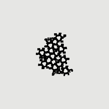 Cc1ccc(O)c(C(c2ccccc2)c2cc(C)cc(C(c3ccccc3)c3cc(C)cc(C(c4ccccc4)c4cc(C)cc(C(c5ccccc5)c5cc(C)ccc5O)c4O)c3O)c2O)c1